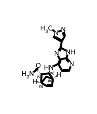 Cn1cc(-c2nc3c(N[C@H]4[C@@H](C(N)=O)[C@@H]5C=C[C@H]4C5)ccnc3[nH]2)cn1